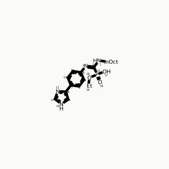 CCCCCCCCNC(=Nc1ccc(-c2c[nH]cn2)cc1)P(=O)(O)OCC